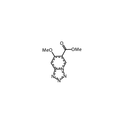 COC(=O)c1cn2nnnc2cc1OC